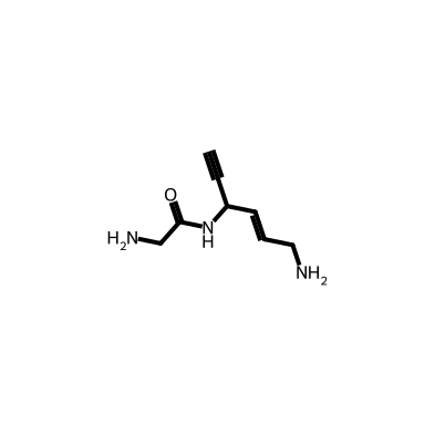 C#CC(C=CCN)NC(=O)CN